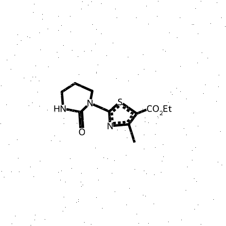 CCOC(=O)c1sc(N2CCCNC2=O)nc1C